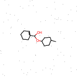 CC1CCC(OC(O)C2=CCCCC2)CC1